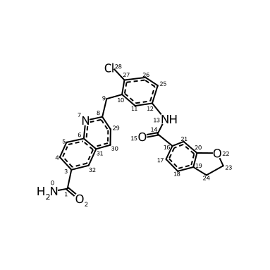 NC(=O)c1ccc2nc(Cc3cc(NC(=O)c4ccc5c(c4)OCC5)ccc3Cl)ccc2c1